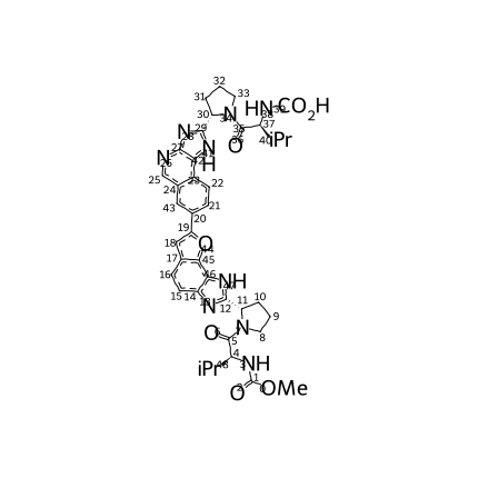 COC(=O)N[C@H](C(=O)N1CCC[C@H]1c1nc2ccc3cc(-c4ccc5c(cnc6nc([C@@H]7CCCN7C(=O)[C@@H](NC(=O)O)C(C)C)[nH]c65)c4)oc3c2[nH]1)C(C)C